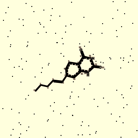 CCCC=Cc1ccc2c(=O)[nH]c(=O)[nH]c2c1